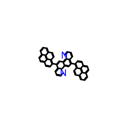 c1cc2ccc3ccc(-c4cc5c(cc(-c6ccc7ccc8cccc9ccc6c7c89)c6cccnc65)c5ncccc45)c4ccc(c1)c2c34